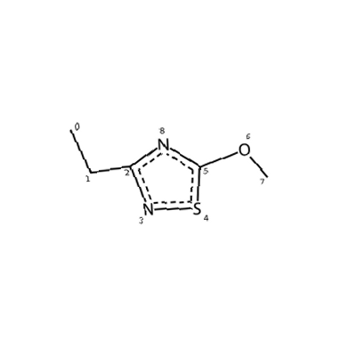 CCc1nsc(OC)n1